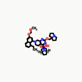 CCc1cccc2cc(OCOC)cc(N3CCc4c(nc(OCC56CCCN5CCC6)nc4N4C[C@H]5CC[C@@H](C4)N5C(=O)O)C3)c12